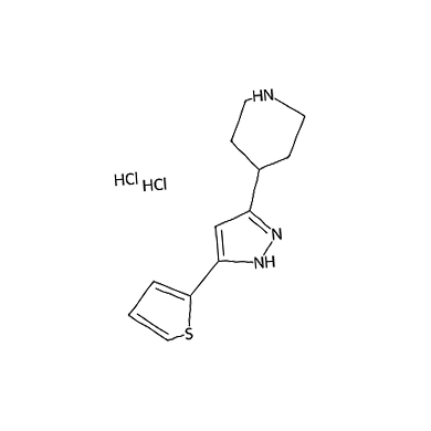 Cl.Cl.c1csc(-c2cc(C3CCNCC3)n[nH]2)c1